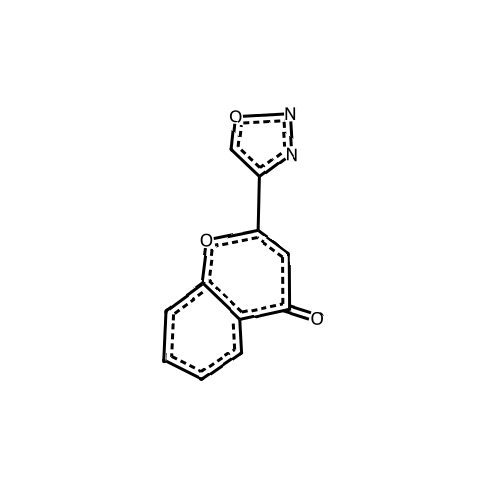 O=c1cc(-c2conn2)oc2ccccc12